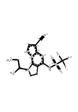 CCC(C)N1CCc2c(NS(=O)(=O)C(F)(F)F)nc3c(C#N)cnn3c21